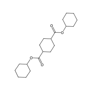 O=C(OC1CCCCC1)C1CCC(C(=O)OC2CCCCC2)CC1